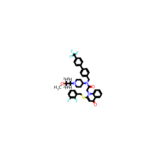 [2H]C([2H])(OC)C([2H])([2H])N1CCC(N(Cc2ccc(-c3ccc(C(F)(F)F)cc3)cc2)C(=O)Cn2c(SCc3cccc(F)c3F)cc(=O)c3ccccc32)CC1